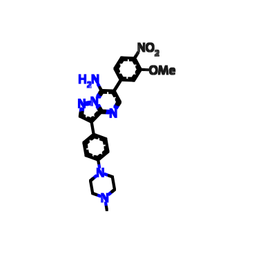 COc1cc(-c2cnc3c(-c4ccc(N5CCN(C)CC5)cc4)cnn3c2N)ccc1[N+](=O)[O-]